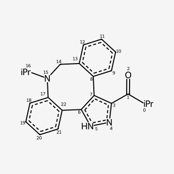 CC(C)C(=O)c1n[nH]c2c1-c1ccccc1CN(C(C)C)c1ccccc1-2